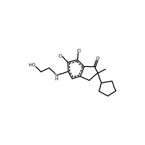 CC1(C2CCCC2)Cc2cc(NCCO)c(Cl)c(Cl)c2C1=O